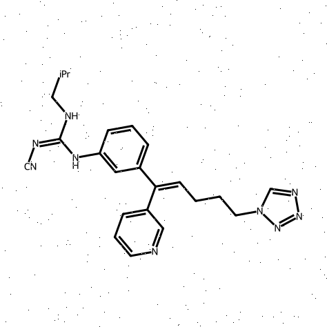 CC(C)CN/C(=N/C#N)Nc1cccc(/C(=C/CCCn2cnnn2)c2cccnc2)c1